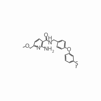 COCc1ccc(C(=O)NCc2ccc(Oc3cccc(SC)c3)cc2)c(N)n1